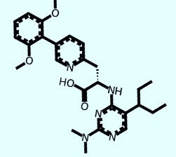 CCC(CC)c1cnc(N(C)C)nc1N[C@@H](Cc1ccc(-c2c(OC)cccc2OC)cn1)C(=O)O